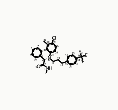 CNC(=O)[C@H](c1ccccc1)N(CCCc1ccc(C(F)(F)F)cc1)c1ccc(Cl)c(C)c1